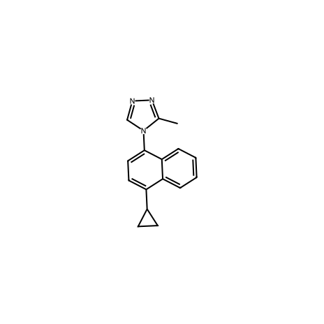 Cc1nncn1-c1ccc(C2CC2)c2ccccc12